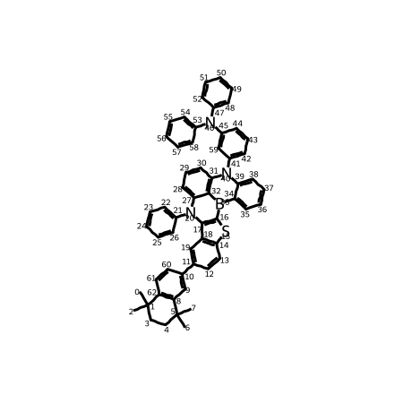 CC1(C)CCC(C)(C)c2cc(-c3ccc4sc5c(c4c3)N(c3ccccc3)c3cccc4c3B5c3ccccc3N4c3cccc(N(c4ccccc4)c4ccccc4)c3)ccc21